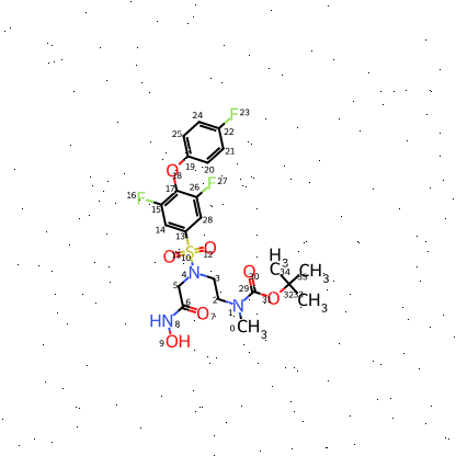 CN(CCN(CC(=O)NO)S(=O)(=O)c1cc(F)c(Oc2ccc(F)cc2)c(F)c1)C(=O)OC(C)(C)C